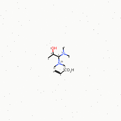 C=CC(=O)O.CC(O)C(N(C)C)N(C)C